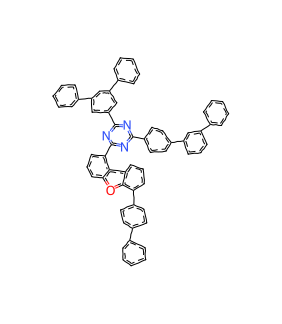 c1ccc(-c2ccc(-c3cccc4c3oc3cccc(-c5nc(-c6ccc(-c7cccc(-c8ccccc8)c7)cc6)nc(-c6cc(-c7ccccc7)cc(-c7ccccc7)c6)n5)c34)cc2)cc1